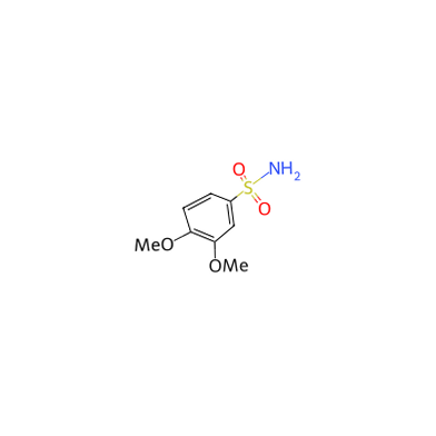 COc1ccc(S(N)(=O)=O)cc1OC